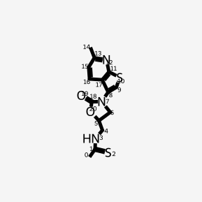 CC(=S)NCC1CN(c2csc3nc(C)ccc23)C(=O)O1